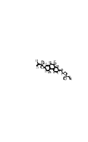 C=CC(=O)OCCc1ccc2c(c1)c(F)cc1cc(OC(=O)C(=C)C)ccc12